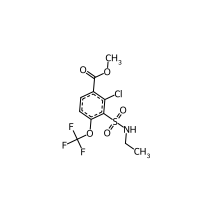 CCNS(=O)(=O)c1c(OC(F)(F)F)ccc(C(=O)OC)c1Cl